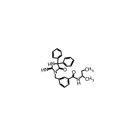 CCC(C)NC(=O)c1cccc(CN2C(=N)NC(c3ccccc3)(c3ccccc3)C2=O)c1